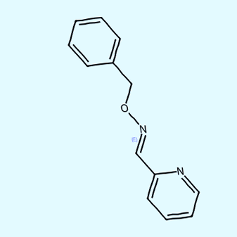 C(=N\OCc1ccccc1)/c1ccccn1